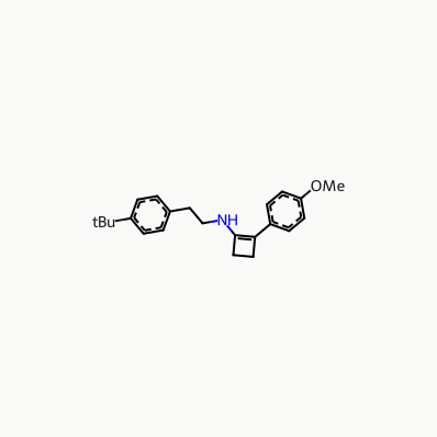 COc1ccc(C2=C(NCCc3ccc(C(C)(C)C)cc3)CC2)cc1